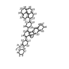 CC1(C)c2ccccc2-c2ccc(-c3ccc(-c4ccc(-c5ccc6ccc7cccc8ccc5c6c78)cc4)c4c3oc3cc5ccccc5cc34)cc21